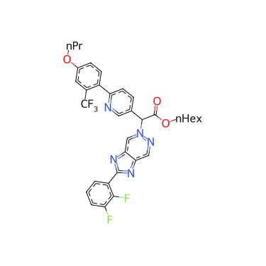 CCCCCCOC(=O)C(c1ccc(-c2ccc(OCCC)cc2C(F)(F)F)nc1)n1cc2nc(-c3cccc(F)c3F)nc-2cn1